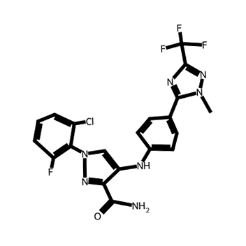 Cn1nc(C(F)(F)F)nc1-c1ccc(Nc2cn(-c3c(F)cccc3Cl)nc2C(N)=O)cc1